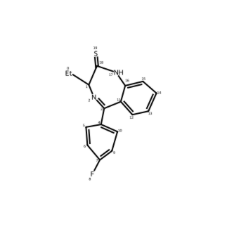 CCC1N=C(c2ccc(F)cc2)c2ccccc2NC1=S